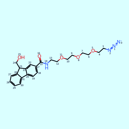 [N-]=[N+]=NCCOCCOCCOCCNC(=O)c1ccc2c(c1)C(CO)c1ccccc1-2